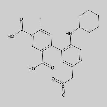 Cc1cc(-c2cc(C[SH](=O)=O)ccc2NC2CCCCC2)c(C(=O)O)cc1C(=O)O